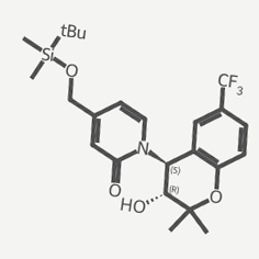 CC1(C)Oc2ccc(C(F)(F)F)cc2[C@H](n2ccc(CO[Si](C)(C)C(C)(C)C)cc2=O)[C@H]1O